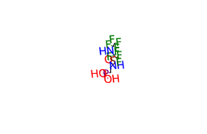 [O-][S+](NCCP(O)O)C(F)(F)C(F)(F)NC(F)(F)C(F)F